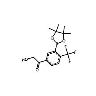 CC1(C)OB(c2cc(C(=O)CO)ccc2C(F)(F)F)OC1(C)C